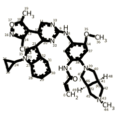 C=CC(=O)Nc1cc(Nc2ncc(-c3c(C)noc3C)c(-c3cn(C4CC4)c4ccccc34)n2)c(OC)cc1N1C[C@H]2CN(C)C[C@H]2C1